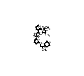 CC1CN(c2ncccc2C(=O)NS(=O)(=O)c2cccc(OCC(C)C3CCCCC3)n2)C(C)(C)C1